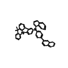 CC1(C)c2ccccc2-n2c3ccc(N(c4ccc(-c5ccc6ccccc6c5)cc4)c4cccc5ccccc45)cc3c3cccc1c32